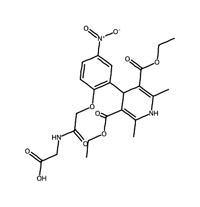 CCOC(=O)C1=C(C)NC(C)=C(C(=O)OCC)C1c1cc([N+](=O)[O-])ccc1OCC(=O)NCC(=O)O